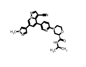 CC(C)NC(=O)[C@H]1CN(c2ccc(-c3cc(-c4cnn(C)c4)cn4ncc(C#N)c34)cn2)CCO1